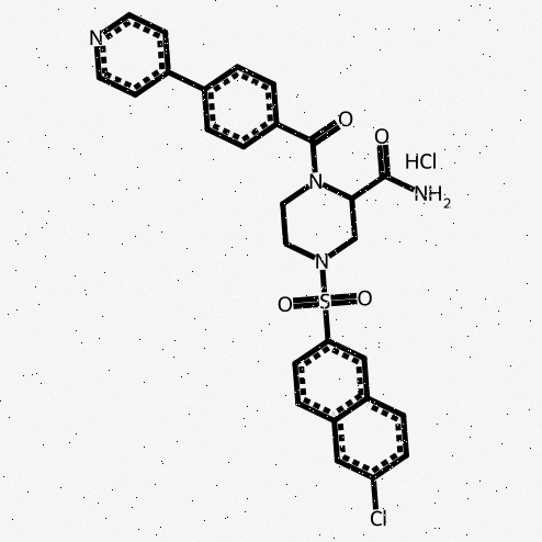 Cl.NC(=O)C1CN(S(=O)(=O)c2ccc3cc(Cl)ccc3c2)CCN1C(=O)c1ccc(-c2ccncc2)cc1